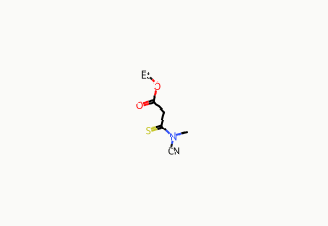 CCOC(=O)CC(=S)N(C)C#N